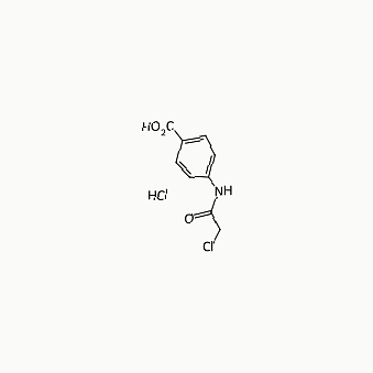 Cl.O=C(CCl)Nc1ccc(C(=O)O)cc1